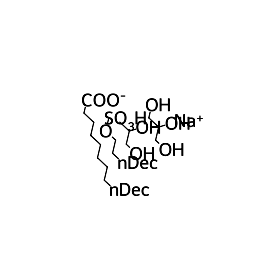 CC(O)CO.CCCCCCCCCCCCCCCCCC(=O)[O-].CCCCCCCCCCCCOS(=O)(=O)O.OCC(O)CO.[Na+]